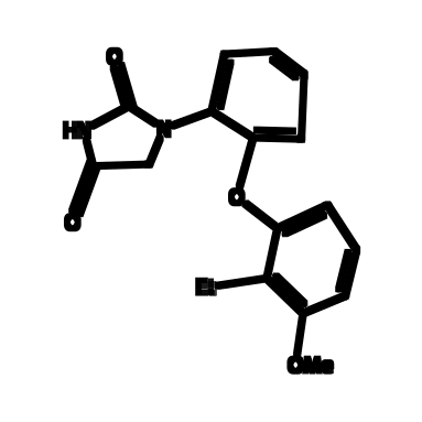 CCc1c(OC)cccc1Oc1ccccc1N1CC(=O)NC1=O